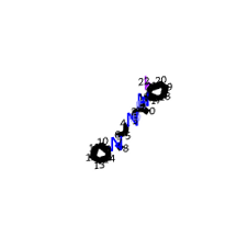 CC(/C=N/CCCN(C)c1ccccc1)=N\c1ccccc1I